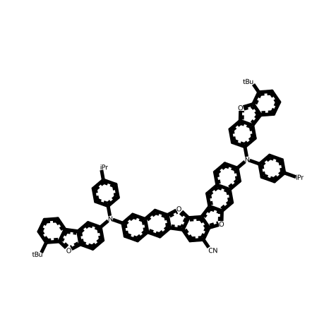 CC(C)c1ccc(N(c2ccc3cc4c(cc3c2)oc2c4cc(C#N)c3oc4cc5cc(N(c6ccc(C(C)C)cc6)c6ccc7oc8c(C(C)(C)C)cccc8c7c6)ccc5cc4c32)c2ccc3oc4c(C(C)(C)C)cccc4c3c2)cc1